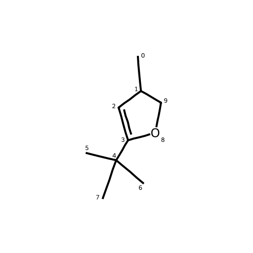 CC1C=C(C(C)(C)C)OC1